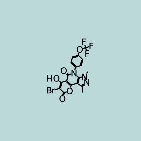 Cc1nn(C)c2c1c1oc(=O)c(Br)c(O)c1c(=O)n2-c1ccc(OC(F)(F)F)cc1